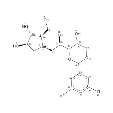 OC[C@@H]1[C@@H](O)[C@H](O)C[Se@+]1C[C@@H](O)[C@H]1OC(c2cc(F)cc(Cl)c2)OC[C@H]1O